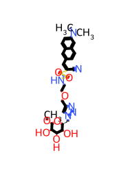 CO[C@H]1O[C@H](Cn2cc(COCCNS(=O)(=O)/C(C#N)=C/c3ccc4cc(N(C)C)ccc4c3)nn2)[C@@H](O)[C@H](O)[C@H]1O